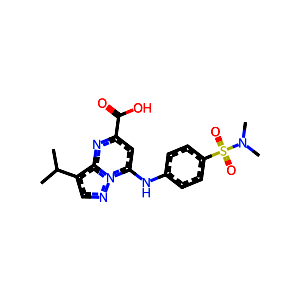 CC(C)c1cnn2c(Nc3ccc(S(=O)(=O)N(C)C)cc3)cc(C(=O)O)nc12